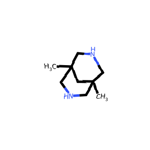 CC12CNCC(C)(CNC1)C2